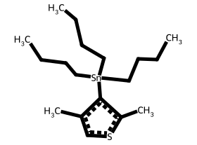 CCC[CH2][Sn]([CH2]CCC)([CH2]CCC)[c]1c(C)csc1C